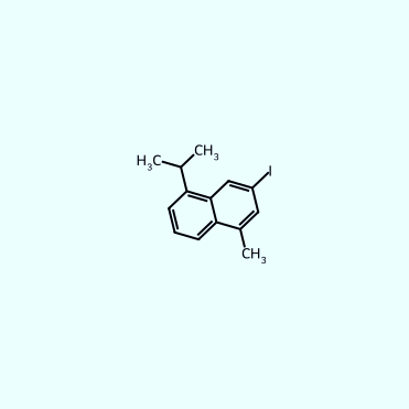 Cc1cc(I)cc2c(C(C)C)cccc12